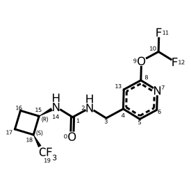 O=C(NCc1ccnc(OC(F)F)c1)N[C@@H]1CC[C@@H]1C(F)(F)F